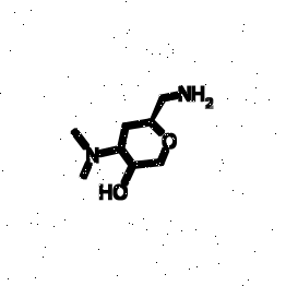 CN(C)C1C[C@@H](CN)OCC1O